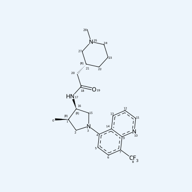 C[C@@H]1CN(c2ccc(C(F)(F)F)c3ncccc23)C[C@@H]1NC(=O)C[C@H]1CCCN(C)C1